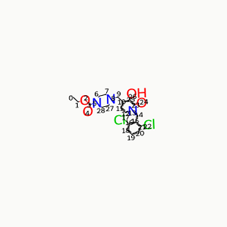 CCOC(=O)N1CCN(Cc2ccn(Cc3c(Cl)cccc3Cl)c(=O)c2O)CC1